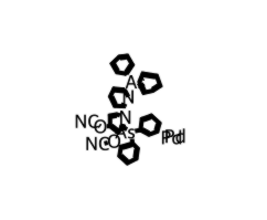 N#COc1ccnc([As](c2ccccc2)c2ccccc2)c1OC#N.[Pd].[Pd].c1ccc([As](c2ccccc2)c2ccccn2)cc1